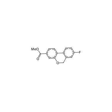 COC(=O)c1ccc2c(c1)OCc1cc(F)ccc1-2